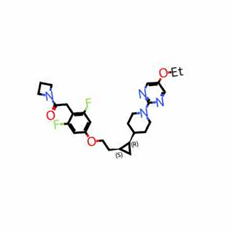 CCOc1cnc(N2CCC([C@H]3C[C@H]3CCOc3cc(F)c(CC(=O)N4CCC4)c(F)c3)CC2)nc1